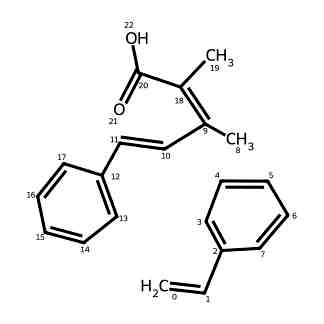 C=Cc1ccccc1.CC(C=Cc1ccccc1)=C(C)C(=O)O